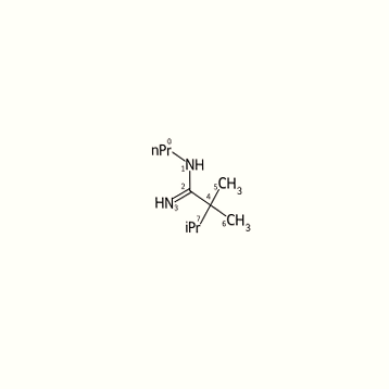 CCCNC(=N)C(C)(C)C(C)C